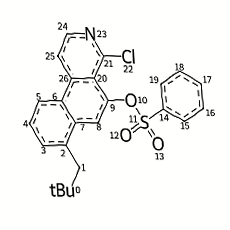 CC(C)(C)Cc1cccc2c1cc(OS(=O)(=O)c1ccccc1)c1c(Cl)nccc12